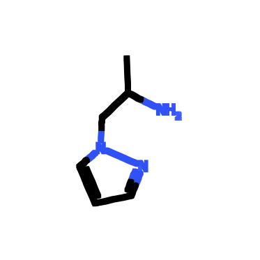 CC(N)Cn1cccn1